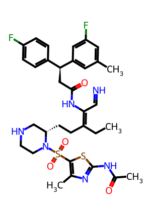 CC/C(CC[C@H]1CNCCN1S(=O)(=O)c1sc(NC(C)=O)nc1C)=C(\C=N)NC(=O)C[C@@H](c1ccc(F)cc1)c1cc(C)cc(F)c1